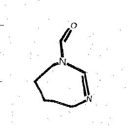 O=CN1[C]=NCCC1